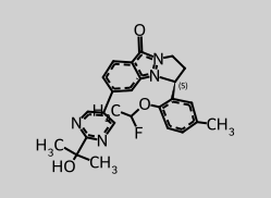 Cc1ccc(OC(C)F)c([C@@H]2CCn3c(=O)c4ccc(-c5cnc(C(C)(C)O)nc5)cc4n32)c1